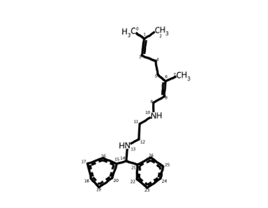 CC(C)=CCCC(C)=CCNCCNC(c1ccccc1)c1ccccc1